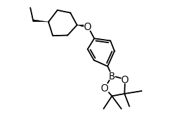 CC[C@H]1CC[C@@H](Oc2ccc(B3OC(C)(C)C(C)(C)O3)cc2)CC1